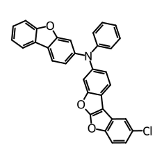 Clc1ccc2oc3oc4cc(N(c5ccccc5)c5ccc6c(c5)oc5ccccc56)ccc4c3c2c1